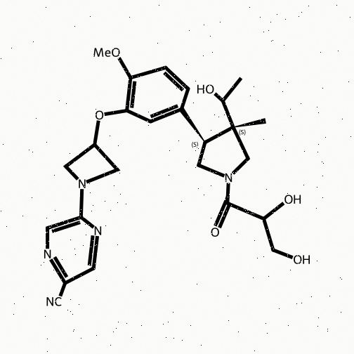 COc1ccc([C@@H]2CN(C(=O)C(O)CO)C[C@@]2(C)C(C)O)cc1OC1CN(c2cnc(C#N)cn2)C1